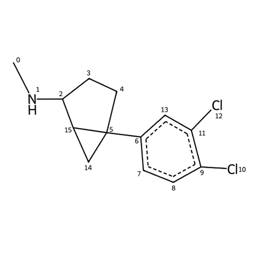 CNC1CCC2(c3ccc(Cl)c(Cl)c3)CC12